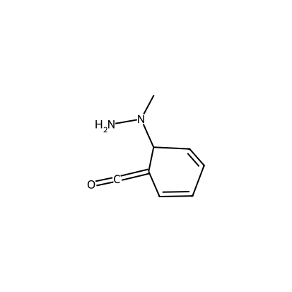 CN(N)C1C=CC=CC1=C=O